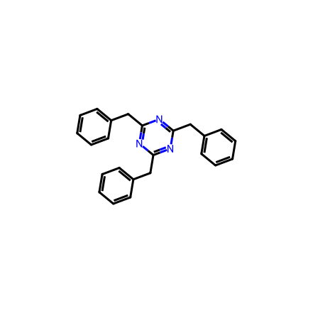 c1ccc(Cc2nc(Cc3ccccc3)nc(Cc3ccccc3)n2)cc1